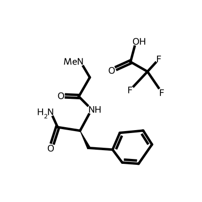 CNCC(=O)N[C@@H](Cc1ccccc1)C(N)=O.O=C(O)C(F)(F)F